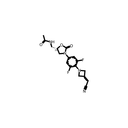 CC(=O)NC[C@H]1CN(c2cc(F)c(N3CC(=CC#N)C3)c(F)c2)C(=O)O1